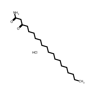 CCCCCCCCCCCCCCCCCC(=O)CC(N)=O.Cl